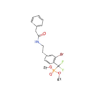 CCOP(=O)(OCC)C(F)(F)c1ccc(CCNC(=O)Cc2ccccc2)cc1Br